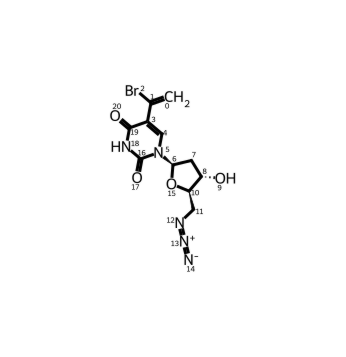 C=C(Br)c1cn([C@H]2C[C@H](O)[C@@H](CN=[N+]=[N-])O2)c(=O)[nH]c1=O